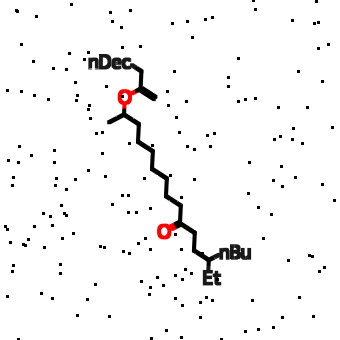 C=C(CCCCCCCCCCC)OC(C)CCCCCCCC(=O)CCC(CC)CCCC